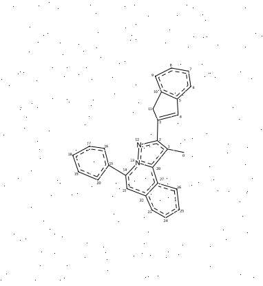 Cc1c(C2=Cc3ccccc3C2)nn2c(-c3ccccc3)cc3ccccc3c12